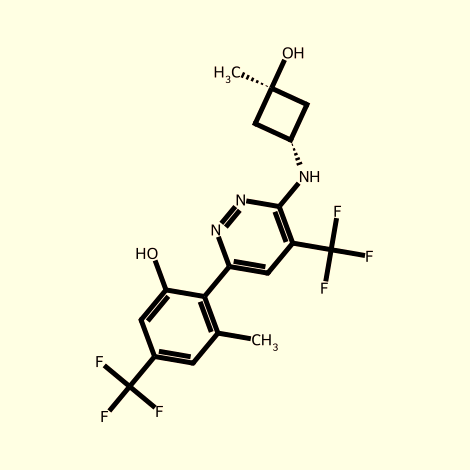 Cc1cc(C(F)(F)F)cc(O)c1-c1cc(C(F)(F)F)c(N[C@H]2C[C@](C)(O)C2)nn1